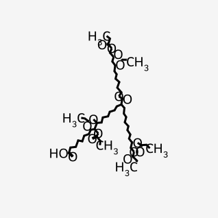 CCC(=O)OCC(CCCCCCCCOC(=O)C(CCCCCCCCC(COC(=O)CC)OC(=O)CC)CCCCCCC(OC(=O)CC)C(CCCCCCCC(=O)O)OC(=O)CC)OC(=O)CC